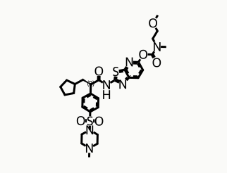 COCCN(C)C(=O)Oc1ccc2nc(NC(=O)[C@H](CC3CCCC3)c3ccc(S(=O)(=O)N4CCN(C)CC4)cc3)sc2n1